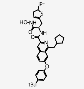 CC(C)C1CC=C(C[C@@H](NC(=O)c2cc3ccc(Oc4ccc(C(C)(C)C)cc4)cc3c(CC3CCCC3)n2)C(=O)NO)S1